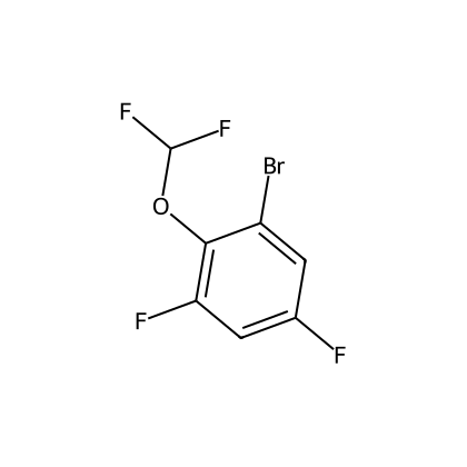 Fc1cc(F)c(OC(F)F)c(Br)c1